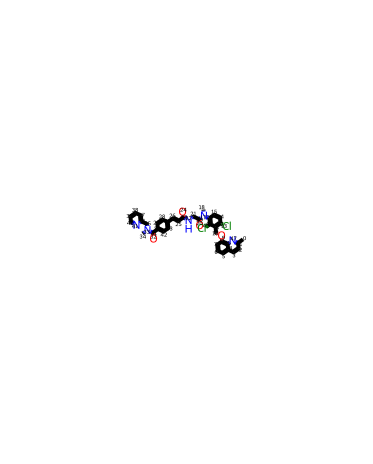 Cc1ccc2cccc(OCc3c(Cl)ccc(N(C)C(=O)CNC(=O)/C=C/c4ccc(C(=O)N(C)Cc5ccccn5)cc4)c3Cl)c2n1